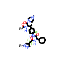 CCC(=O)NC(C(=O)N1CCN(C)CC1)C(C)c1ccc(NC(=O)C(NC(=O)C(F)(F)c2cnn(CC)c2)C2CCCCCC2)c(F)c1